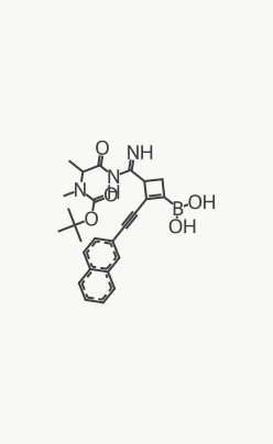 CC(C(=O)NC(=N)C1CC(B(O)O)=C1C#Cc1ccc2ccccc2c1)N(C)C(=O)OC(C)(C)C